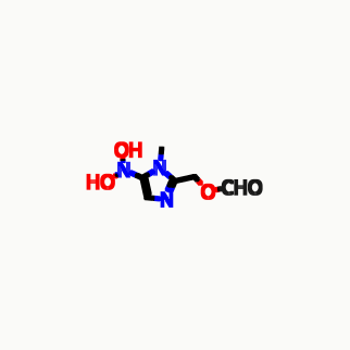 Cn1c(N(O)O)cnc1COC=O